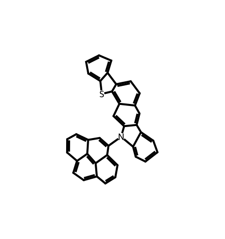 c1cc2ccc3cccc4c(-n5c6ccccc6c6cc7ccc8c9ccccc9sc8c7cc65)cc(c1)c2c34